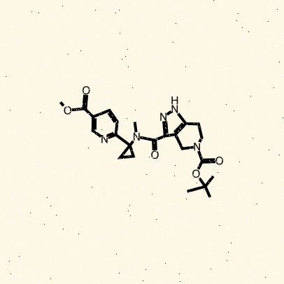 COC(=O)c1ccc(C2(N(C)C(=O)c3n[nH]c4c3CN(C(=O)OC(C)(C)C)CC4)CC2)nc1